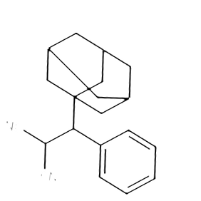 N#CC(C#N)C(c1ccccc1)C12CC3CC(CC(C3)C1)C2